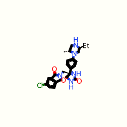 CC[C@H]1CN(c2ccc([C@]3(CN4Cc5ccc(Cl)cc5C4=O)NC(=O)NC3=O)cc2)[C@H](C)CN1